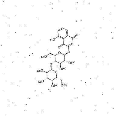 CC(=O)OC[C@H]1O[C@@H](OC2=CC(=O)c3cccc(O)c3C2=O)[C@H](OC(C)=O)[C@@H](OC(C)=O)[C@@H]1O[C@H]1O[C@H](COC(C)=O)[C@@H](OC(C)=O)[C@H](OC(C)=O)C1OC(C)=O